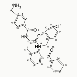 Cl.NCc1ccc(C(=O)N[C@@H](Cc2cccc(C(=O)c3ccccc3)c2)C(=O)NCc2ccccc2)cc1